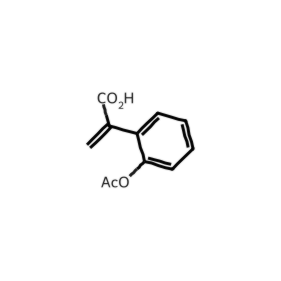 C=C(C(=O)O)c1ccccc1OC(C)=O